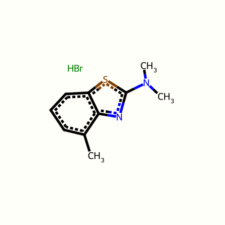 Br.Cc1cccc2sc(N(C)C)nc12